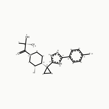 C[C@@H]1CN(C(=O)[C@@](C)(O)C(F)(F)F)CC[C@@H]1C1(c2nnc(-c3ccc(F)cc3)[nH]2)CC1